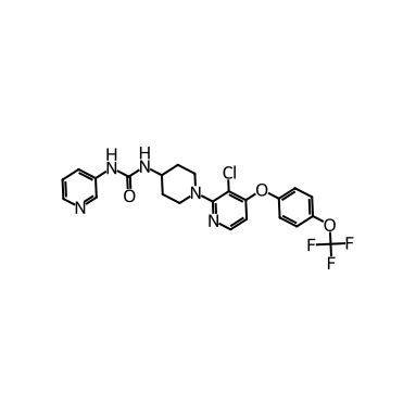 O=C(Nc1cccnc1)NC1CCN(c2nccc(Oc3ccc(OC(F)(F)F)cc3)c2Cl)CC1